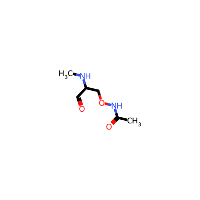 CNC(C=O)CONC(C)=O